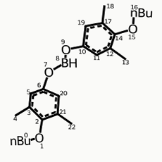 CCCCOc1c(C)cc(OBOc2cc(C)c(OCCCC)c(C)c2)cc1C